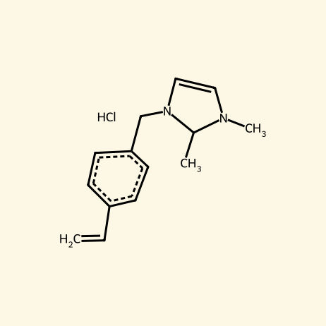 C=Cc1ccc(CN2C=CN(C)C2C)cc1.Cl